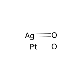 [O]=[Ag].[O]=[Pt]